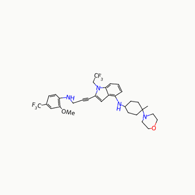 COc1cc(C(F)(F)F)ccc1NCC#Cc1cc2c(NC3CCC(C)(N4CCOCC4)CC3)cccc2n1CC(F)(F)F